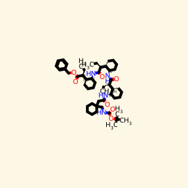 CC[C@H](C(=O)N[C@H]1CCCC[C@H]1[C@H](CC)C(=O)N[C@H]1CCCC[C@H]1[C@H](CC)C(=O)OCc1ccccc1)[C@@H]1CCCC[C@@H]1NC(=O)CC1(CNC(=O)OC(C)(C)C)CCCCC1